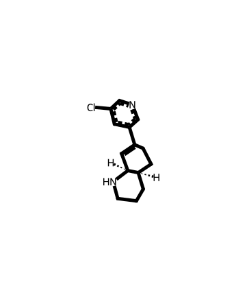 Clc1cncc(C2=C[C@@H]3NCCC[C@@H]3CC2)c1